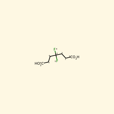 O=C(O)CCC(F)(F)CCC(=O)O